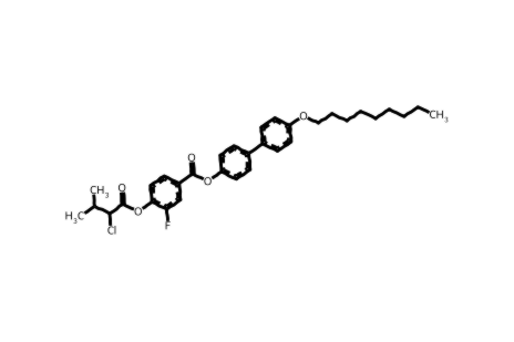 CCCCCCCCCOc1ccc(-c2ccc(OC(=O)c3ccc(OC(=O)C(Cl)C(C)C)c(F)c3)cc2)cc1